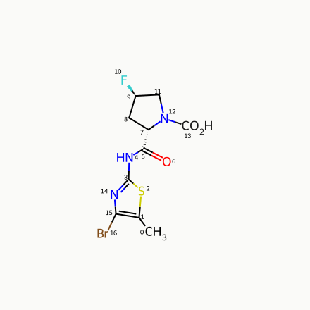 Cc1sc(NC(=O)[C@@H]2C[C@@H](F)CN2C(=O)O)nc1Br